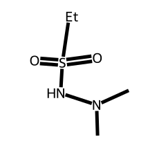 CCS(=O)(=O)NN(C)C